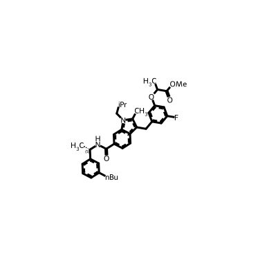 CCCCc1cccc([C@H](C)NC(=O)c2ccc3c(Cc4cc(F)cc(OC(C)C(=O)OC)c4)c(C)n(CC(C)C)c3c2)c1